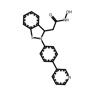 O=C(CC1c2ccccc2SN1c1ccc(-c2cccnc2)cc1)NO